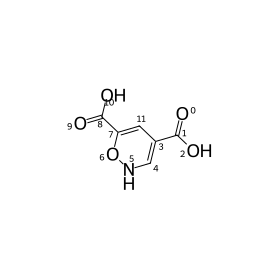 O=C(O)C1=CNOC(C(=O)O)=C1